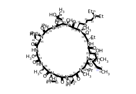 C/C=C/C[C@@H](C)[C@@H](O)[C@H]1C(=O)N[C@@H](CC)C(=O)N(C)[C@H](CSCCN(CC)CC)C(=O)N(C)[C@@H](CC(C)(C)O)C(=O)N[C@@H](C(C)C)C(=O)N(C)[C@@H](CC(C)C)C(=O)N[C@@H](C)C(=O)N[C@H](C)C(=O)N(C)[C@@H](CC(C)C)C(=O)N(C)[C@@H](CC(C)C)C(=O)N(C)[C@@H](C(C)C)C(=O)N1C